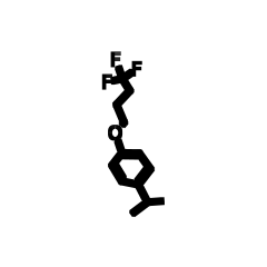 CC(C)c1ccc(OCCCC(F)(F)F)cc1